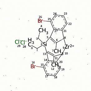 CC[Si]1(CC)C2=C(C)[CH]([Zr+2][CH]3C(C)=C1c1c(Br)cccc13)c1cccc(Br)c12.[Cl-].[Cl-]